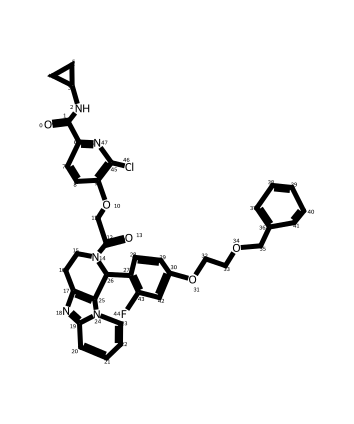 O=C(NC1CC1)c1ccc(OCC(=O)N2CCc3nc4ccccn4c3C2c2ccc(OCCOCc3ccccc3)cc2F)c(Cl)n1